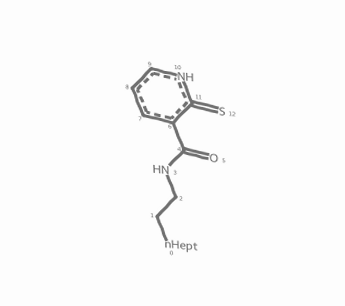 CCCCCCCCCNC(=O)c1ccc[nH]c1=S